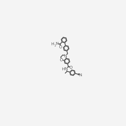 CC(NC(=O)c1ccc2c(c1)OCCN2Cc1ccc(-c2ccccc2C(N)=O)cc1)c1ccc(C#N)cc1